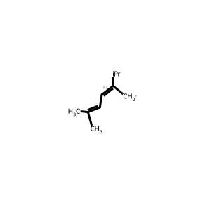 [CH2]/C(=C\C=C(C)C)C(C)C